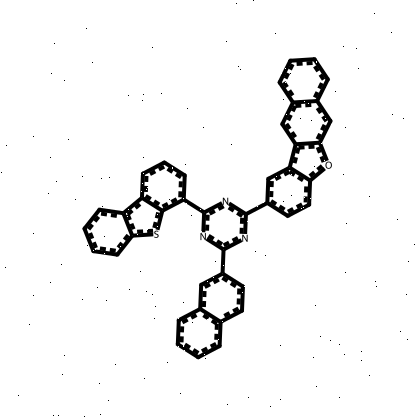 c1ccc2cc(-c3nc(-c4ccc5oc6cc7ccccc7cc6c5c4)nc(-c4cccc5c4sc4ccccc45)n3)ccc2c1